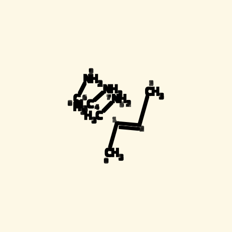 CC=CC.CN.CN.CN